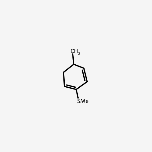 CSC1=CCC(C)C=C1